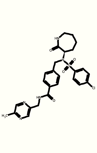 Cc1cnc(CNC(=O)c2ccc(CN([C@@H]3CCCCNC3=O)S(=O)(=O)c3ccc(Cl)cc3)cc2)cn1